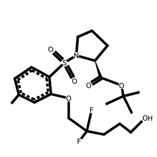 Cc1ccc(S(=O)(=O)N2CCC[C@H]2C(=O)OC(C)(C)C)c(OCC(F)(F)CCCO)c1